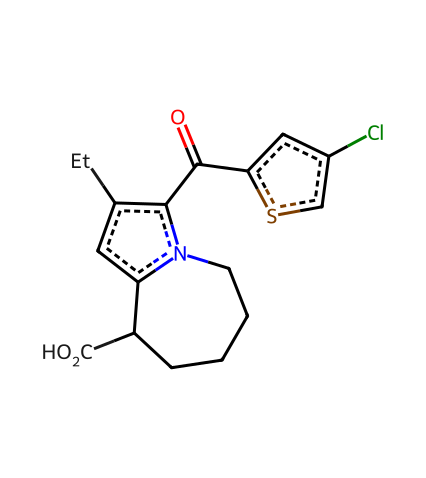 CCc1cc2n(c1C(=O)c1cc(Cl)cs1)CCCCC2C(=O)O